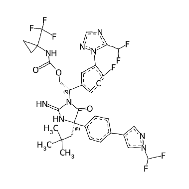 CC(C)(C)C[C@]1(c2ccc(-c3cnn(C(F)F)c3)cc2)NC(=N)N([C@H](COC(=O)NC2(C(F)(F)F)CC2)c2ccc(F)c(-n3ncnc3C(F)F)c2)C1=O